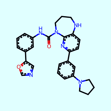 O=C(Nc1cccc(-c2cnco2)c1)N1CCCNc2ccc(-c3cccc(N4CCCC4)c3)nc21